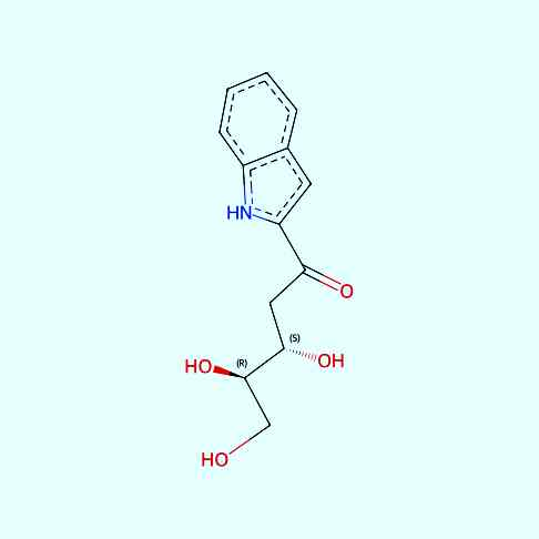 O=C(C[C@H](O)[C@H](O)CO)c1cc2ccccc2[nH]1